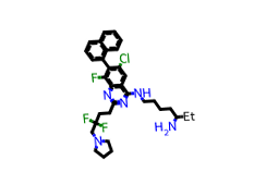 CCC(N)CCCCNc1nc(CCC(F)(F)CN2CCCC2)nc2c(F)c(-c3cccc4ccccc34)c(Cl)cc12